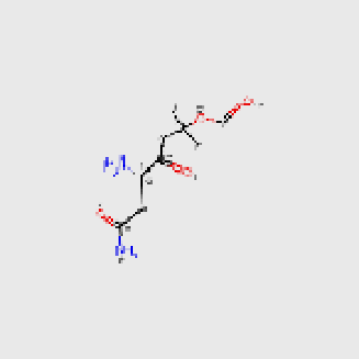 CC(C)(CC(=O)[C@@H](N)CC(N)=O)O[C]=O